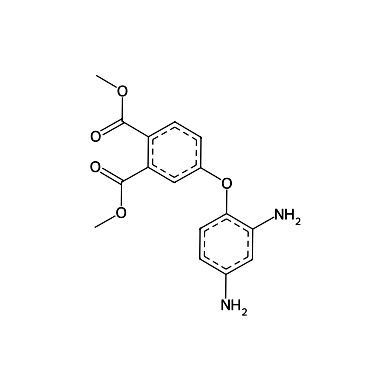 COC(=O)c1ccc(Oc2ccc(N)cc2N)cc1C(=O)OC